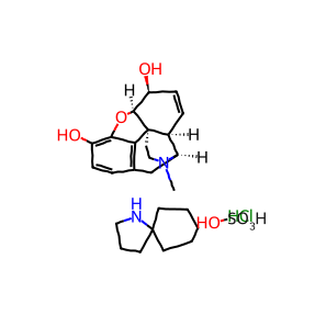 C1CCC2(CC1)CCCN2.CN1CC[C@]23c4c5ccc(O)c4O[C@H]2[C@@H](O)C=C[C@H]3[C@H]1C5.Cl.O=S(=O)(O)O